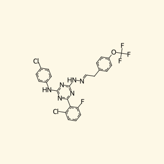 Fc1cccc(Cl)c1-c1nc(NN=CCc2ccc(OC(F)(F)F)cc2)nc(Nc2ccc(Cl)cc2)n1